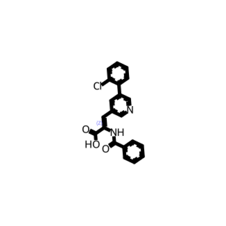 O=C(O)/C(=C/c1cncc(-c2ccccc2Cl)c1)NC(=O)c1ccccc1